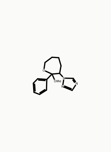 COC1(c2ccccc2)OCCCCC1n1cncn1